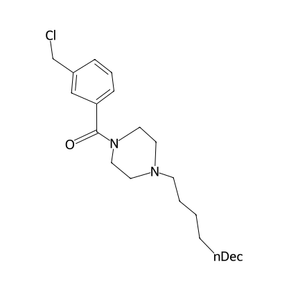 CCCCCCCCCCCCCCN1CCN(C(=O)c2cccc(CCl)c2)CC1